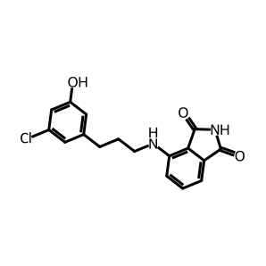 O=C1NC(=O)c2c(NCCCc3cc(O)cc(Cl)c3)cccc21